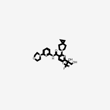 O=C(Nc1cccc(N2CCOCC2)n1)c1ccc([C@@](O)(CO)C(F)(F)F)nc1N1CCC2(CC1)CC2